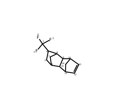 FC(F)(F)C1CC2CC1C1C3C=CC(C3)C21